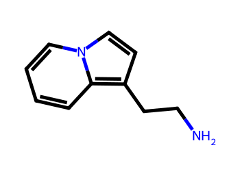 NCCc1ccn2ccccc12